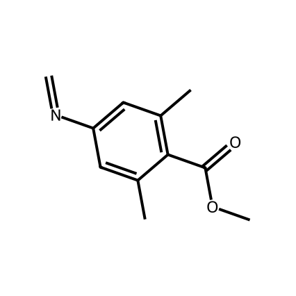 C=Nc1cc(C)c(C(=O)OC)c(C)c1